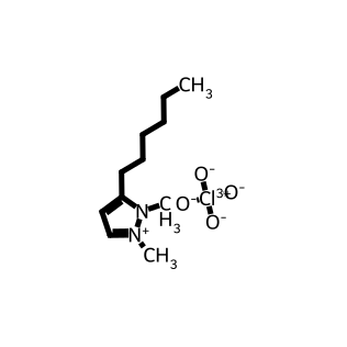 CCCCCCc1cc[n+](C)n1C.[O-][Cl+3]([O-])([O-])[O-]